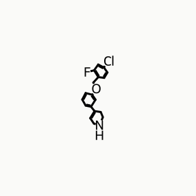 Fc1cc(Cl)ccc1COc1cccc(C2=CCNCC2)c1